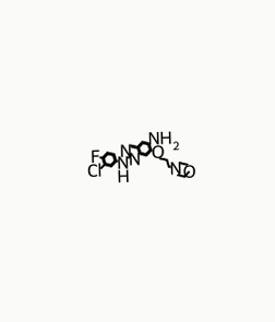 Nc1cc2cnc(Nc3ccc(F)c(Cl)c3)nc2cc1OCCCN1CCOCC1